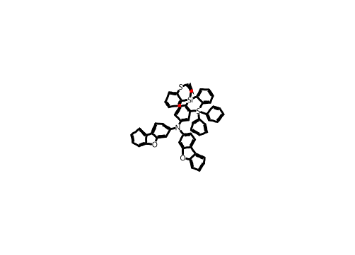 c1ccc(S2(c3ccccc3)c3ccccc3[Si]3(c4ccccc4Sc4ccccc43)c3ccc(N(c4ccc5c(c4)oc4ccccc45)c4ccc5c(c4)oc4ccccc45)cc32)cc1